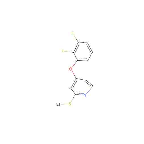 CCSc1[c]c(Oc2cccc(F)c2F)ccn1